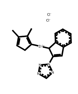 CC1=CC[C]([Zr+2][CH]2C(n3ncnn3)=Cc3ccccc32)=C1C.[Cl-].[Cl-]